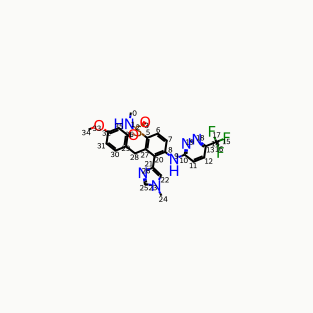 CNS(=O)(=O)c1ccc(Nc2ccc(C(F)(F)F)nn2)c(-c2cn(C)cn2)c1Cc1ccc(OC)cc1